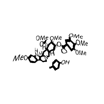 COC(=O)[C@H]1[C@H]2C[C@@H]3c4[nH]c5cc(OC)ccc5c4CCN3C[C@H]2C[C@@H](OC(=O)c2cc(OC)c(OC)c(OC)c2)[C@@H]1OC.Cc1ccc(O)cc1